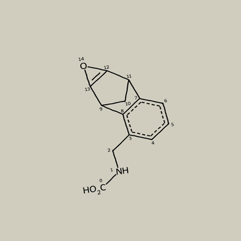 O=C(O)NCc1cccc2c1C1CC2C2=C1O2